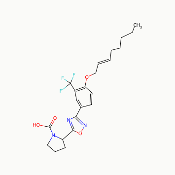 CCCCCC=CCOc1ccc(-c2noc(C3CCCN3C(=O)O)n2)cc1C(F)(F)F